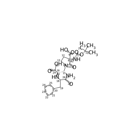 CC(C)(C)OC(=O)N[C@]1(C(=O)O)CCN(C[C@H](NC(Cc2ccccc2)C(N)=O)C(=O)O)C1=O